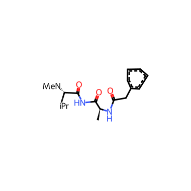 CN[C@H](C(=O)NC(=O)[C@H](C)NC(=O)Cc1ccccc1)C(C)C